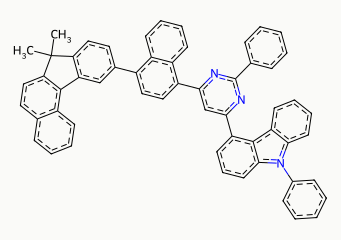 CC1(C)c2ccc(-c3ccc(-c4cc(-c5cccc6c5c5ccccc5n6-c5ccccc5)nc(-c5ccccc5)n4)c4ccccc34)cc2-c2c1ccc1ccccc21